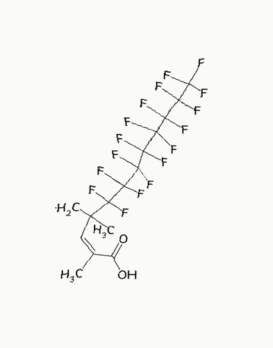 [CH2]C(C)(C=C(C)C(=O)O)C(F)(F)C(F)(F)C(F)(F)C(F)(F)C(F)(F)C(F)(F)C(F)(F)C(F)(F)F